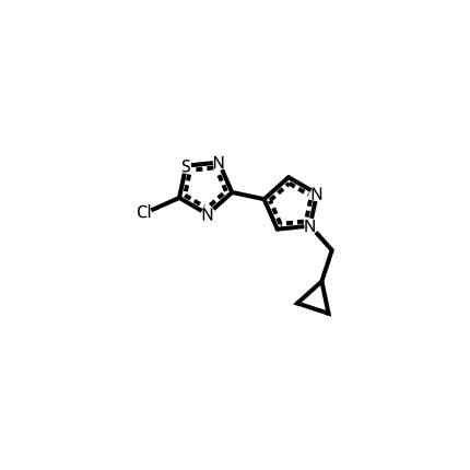 Clc1nc(-c2cnn(CC3CC3)c2)ns1